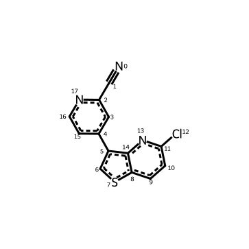 N#Cc1cc(-c2csc3ccc(Cl)nc23)ccn1